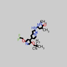 Cc1cc(Nc2cc3cc(-c4cc(OCC(F)F)ncc4OCC(C)(C)C#N)ccn3n2)nn(C)c1=O